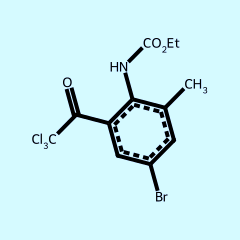 CCOC(=O)Nc1c(C)cc(Br)cc1C(=O)C(Cl)(Cl)Cl